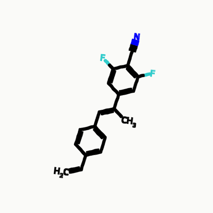 C=Cc1ccc(/C=C(\C)c2cc(F)c(C#N)c(F)c2)cc1